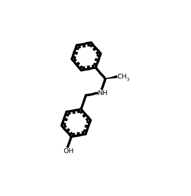 C[C@@H](NCc1ccc(O)cc1)c1ccccc1